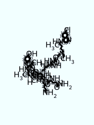 CCN(CCCC(C)Nc1ccnc2cc(Cl)ccc12)CCOC(=O)NC(=N)NCCCC[C@H](NC(=O)[C@H](CCCCN)NC(=O)[C@@H](N)CCC(N)=O)C(=O)N[C@@H](C)C(=O)N[C@@H](C)C(=O)N[C@@H](Cc1ccc(O)cc1)C(=O)NC